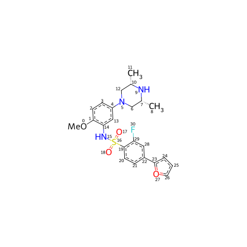 COc1ccc(N2C[C@@H](C)N[C@@H](C)C2)cc1NS(=O)(=O)c1ccc(-c2ccco2)cc1F